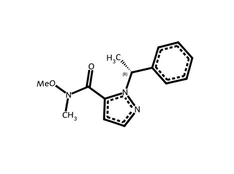 CON(C)C(=O)c1ccnn1[C@H](C)c1ccccc1